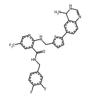 NC1NC=Nc2ccc(-c3ccc(CNc4ncc(C(F)(F)F)cc4C(=O)NCc4ccc(F)c(F)c4)s3)cc21